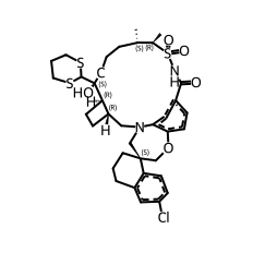 C[C@@H]1[C@@H](C)CCC[C@@](O)(C2SCCCS2)[C@@H]2CC[C@H]2CN2C[C@@]3(CCCc4cc(Cl)ccc43)COc3ccc(cc32)C(=O)NS1(=O)=O